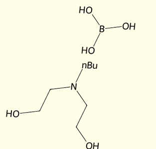 CCCCN(CCO)CCO.OB(O)O